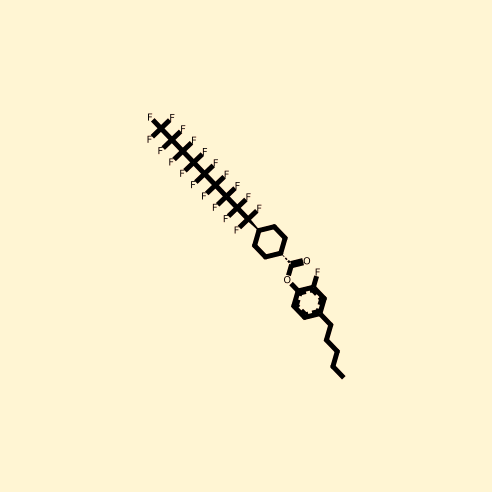 CCCCCc1ccc(OC(=O)[C@H]2CC[C@H](C(F)(F)C(F)(F)C(F)(F)C(F)(F)C(F)(F)C(F)(F)C(F)(F)C(F)(F)C(F)(F)F)CC2)c(F)c1